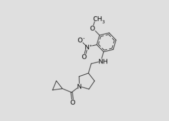 COc1cccc(NCC2CCN(C(=O)C3CC3)C2)c1[N+](=O)[O-]